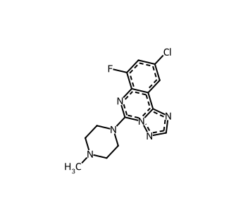 CN1CCN(c2nc3c(F)cc(Cl)cc3c3ncnn23)CC1